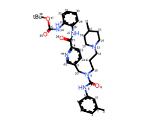 Cc1cccc(NC(=O)N(CCCN2CCC(C)CC2)Cc2ccc(C(=O)Nc3ccccc3NC(=O)OC(C)(C)C)nc2)c1